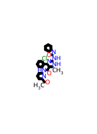 CC(=O)c1cccc(NC(=O)C2=C(C)NC(Nc3nc4ccccc4o3)=NC2c2ccccc2Cl)n1